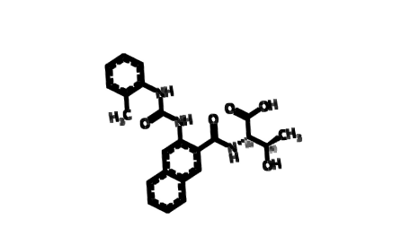 Cc1ccccc1NC(=O)Nc1cc2ccccc2cc1C(=O)N[C@H](C(=O)O)[C@@H](C)O